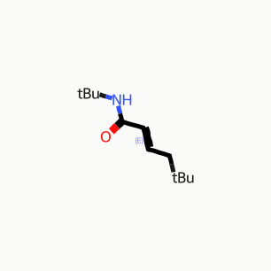 CC(C)(C)C/C=C/C(=O)NC(C)(C)C